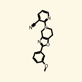 COc1cccc(-c2nc3c(o2)CCN(c2ncccc2C#N)C3)c1